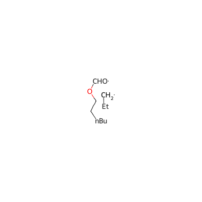 CCCCCCO[C]=O.[CH2]CC